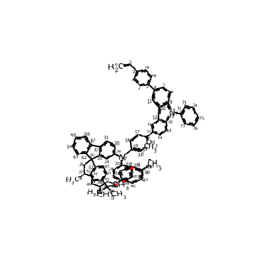 C=Cc1ccc(-c2ccc3c(c2)c2cc(C(=C)/C=C\C(=C/C)N(c4ccccc4)c4ccc5c(c4)C(CC(C)CCC(C)COc4ccc(C)cc4)(c4ccc(C(C)(C)C)cc4)c4ccccc4-5)ccc2n3-c2ccccc2)cc1